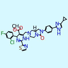 COC(=O)C1=C(CN2CCN3C(=O)N(c4ccc(-c5nc(C6CC6)c[nH]5)cc4)C[C@@H]3C2)NC(c2nccs2)=NC1c1ccc(F)cc1Cl